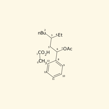 CC(=O)O.CCCCC(CC)CC(OC(C)=O)c1ccccc1